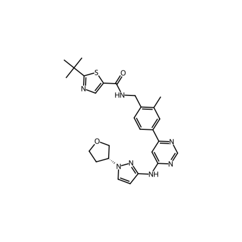 Cc1cc(-c2cc(Nc3ccn([C@@H]4CCOC4)n3)ncn2)ccc1CNC(=O)c1cnc(C(C)(C)C)s1